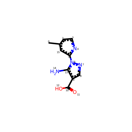 Cc1ccnc(-n2ncc(C(=O)O)c2N)c1